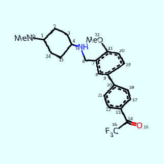 CNC1CCC(NCc2cc(-c3ccc(C(=O)C(F)(F)F)cc3)ccc2OC)CC1